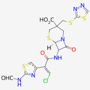 O=CNc1nc(C(=CCl)C(=O)NC2C(=O)N3CC(CSc4nncs4)(C(=O)O)CS[C@H]23)cs1